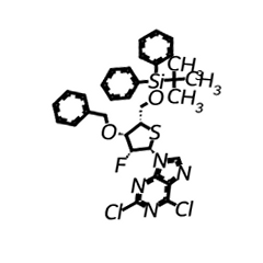 CC(C)(C)[Si](OC[C@@H]1S[C@H](n2cnc3c(Cl)nc(Cl)nc32)[C@H](F)[C@@H]1OCc1ccccc1)(c1ccccc1)c1ccccc1